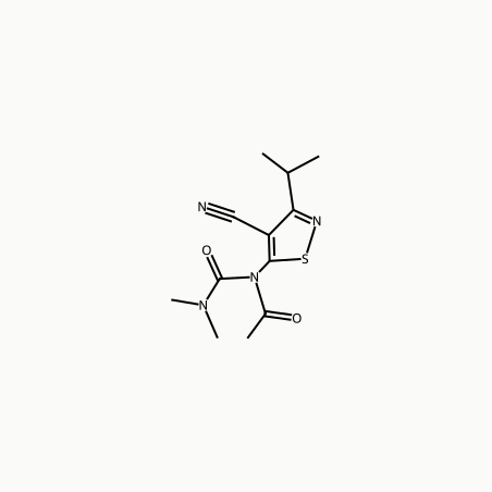 CC(=O)N(C(=O)N(C)C)c1snc(C(C)C)c1C#N